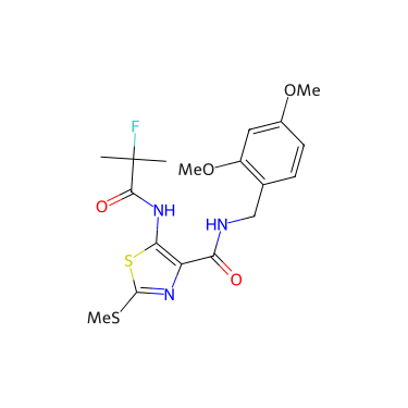 COc1ccc(CNC(=O)c2nc(SC)sc2NC(=O)C(C)(C)F)c(OC)c1